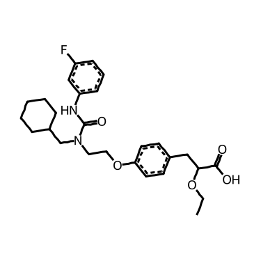 CCOC(Cc1ccc(OCCN(CC2CCCCC2)C(=O)Nc2cccc(F)c2)cc1)C(=O)O